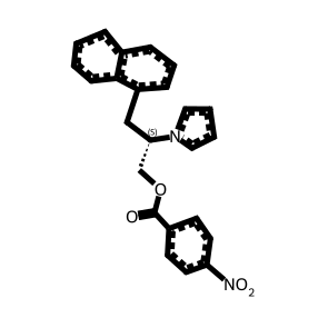 O=C(OC[C@H](Cc1cccc2ccccc12)n1cccc1)c1ccc([N+](=O)[O-])cc1